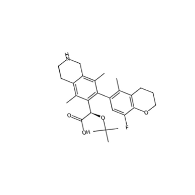 Cc1c(-c2c(C)c3c(c(C)c2[C@@H](OC(C)(C)C)C(=O)O)CCNC3)cc(F)c2c1CCCO2